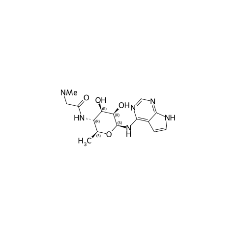 CNCC(=O)N[C@@H]1[C@@H](O)[C@@H](O)[C@@H](Nc2ncnc3[nH]ccc23)O[C@H]1C